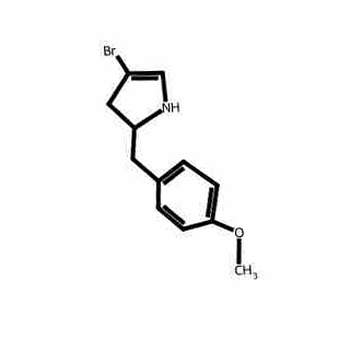 COc1ccc(CC2CC(Br)=CN2)cc1